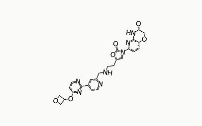 O=C1COc2ccc(-n3cc(CCNCc4cc(-c5nccc(OC6COC6)n5)ccn4)oc3=O)nc2N1